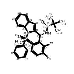 COc1ccc(F)c(F)c1[C@@H](N[S@@+]([O-])C(C)(C)C)c1cc2ccccc2n1S(=O)(=O)c1ccccc1